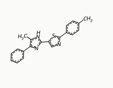 Cc1ccc(-c2ncc(-c3nc(-c4ccccc4)c(C)[nH]3)s2)cc1